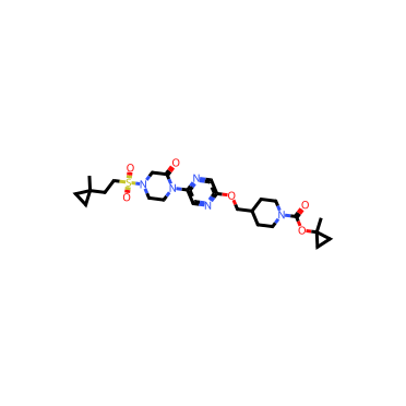 CC1(CCS(=O)(=O)N2CCN(c3cnc(OCC4CCN(C(=O)OC5(C)CC5)CC4)cn3)C(=O)C2)CC1